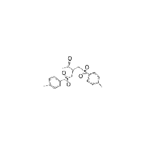 CC(=O)C(CS(=O)(=O)c1ccc(C)cc1)CS(=O)(=O)c1ccc(C)cc1